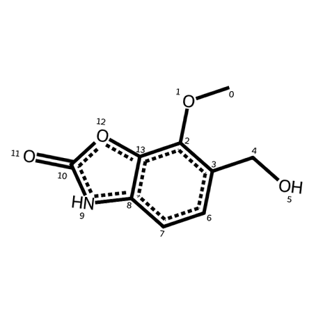 COc1c(CO)ccc2[nH]c(=O)oc12